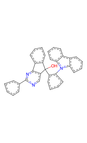 OC1(c2ccccc2-n2c3ccccc3c3ccccc32)c2ccccc2-c2nc(-c3ccccc3)ncc21